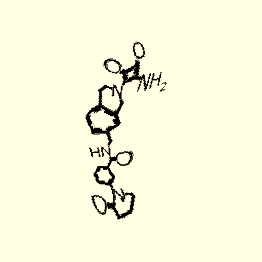 Nc1c(N2CCc3ccc(CNC(=O)c4cccc(N5CCCC5=O)c4)cc3C2)c(=O)c1=O